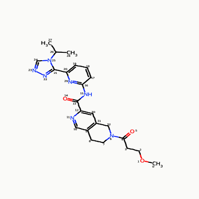 COCCC(=O)N1CCc2cnc(C(=O)Nc3cccc(-c4nncn4C(C)C)n3)cc2C1